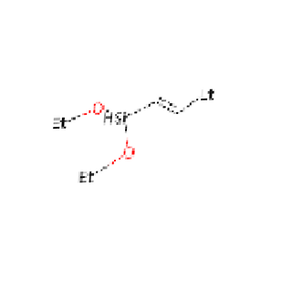 CCC=C[SiH](OCC)OCC